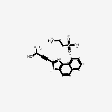 CC(O)C#Cc1nc2c(ccc3ccccc32)s1.CCCS(=O)(=O)O